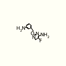 Nc1cccc(COc2ncc(F)c(N)n2)c1